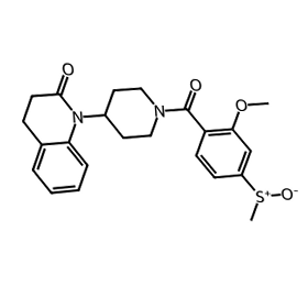 COc1cc([S+](C)[O-])ccc1C(=O)N1CCC(N2C(=O)CCc3ccccc32)CC1